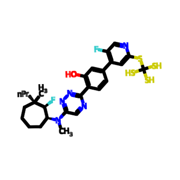 CCC[C@]1(C)CCCC[C@H](N(C)c2cnc(-c3ccc(-c4cc(SC(S)(S)S)ncc4F)cc3O)nn2)[C@@H]1F